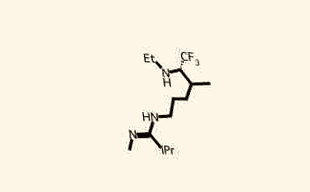 CCN[C@@H](C(C)CCCN/C(=N/C)C(C)C)C(F)(F)F